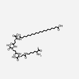 N[C@@H](CCCCNC(=O)CC[C@H](NC(=O)CC[C@H](NC(=O)CC[C@H](NC(=O)CCCCCCCCCCCCCCCCCCC(=O)O)C(=O)O)C(=O)O)C(=O)O)C(=O)I